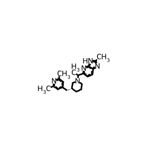 Cc1cc(C[C@H]2CCCN(C(C)c3ccc4nc(C)[nH]c4n3)C2)cc(C)n1